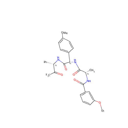 CCOc1cccc(C(=O)N[C@@H](C)C(=O)N[C@H](C(=O)N[C@H](C(=O)C(F)(F)F)C(C)C)c2ccc(OC)cc2)c1